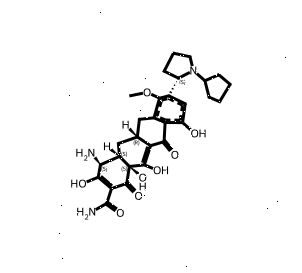 COc1c([C@@H]2CCCN2C2CCCC2)cc(O)c2c1C[C@H]1C[C@H]3[C@H](N)C(O)=C(C(N)=O)C(=O)[C@@]3(O)C(O)=C1C2=O